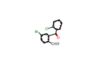 O=[C]c1ccc(Br)cc1C(=O)c1ccccc1Cl